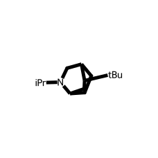 CC(C)N1CC2CCC1CC2C(C)(C)C